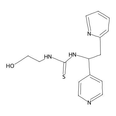 OCCNC(=S)NC(Cc1ccccn1)c1ccncc1